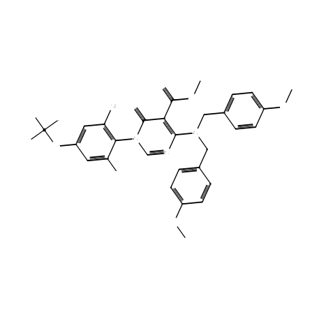 COC(=O)c1c(N(Cc2ccc(OC)cc2)Cc2ccc(OC)cc2)ncn(-c2c(N)cc(OC(F)(F)F)cc2Cl)c1=O